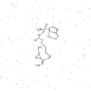 CC(CCCC/C=C\C(=C\N)C1CC1C)NS[SH](N)(=O)c1cnn2c1OCCC2